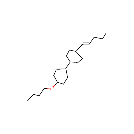 CCC/C=C/[C@H]1CC[C@H]([C@H]2CC[C@H](OCCCC)CC2)CC1